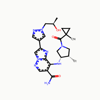 CC[C@H]1CN(C(=O)C2(C#N)CC2)C[C@H]1Nc1c(C(N)=O)cnn2cc(-c3cnn(C[C@@H](C)O)c3)nc12